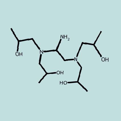 CC(O)CN(CC(C)O)CC(N)N(CC(C)O)CC(C)O